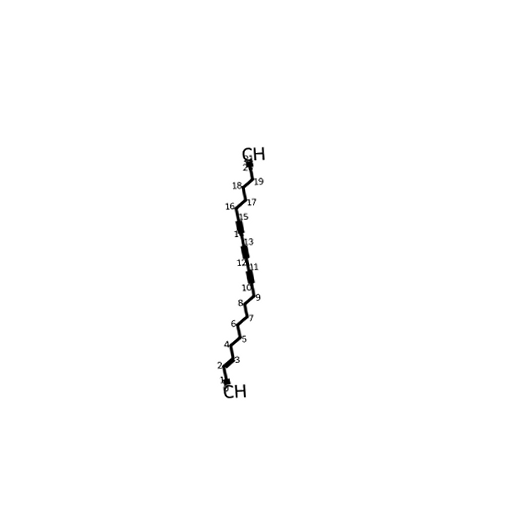 C#C/C=C/CCCCCCC#CC#CC#CCCCCC#C